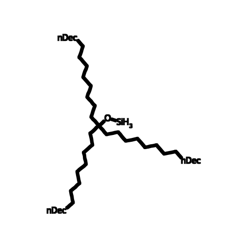 CCCCCCCCCCCCCCCCCCC(CCCCCCCCCCCCCCCCCC)(CCCCCCCCCCCCCCCCCC)O[SiH3]